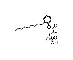 CCCCCCCCCc1ccccc1OC(=O)C(C)OS(=O)(=O)O